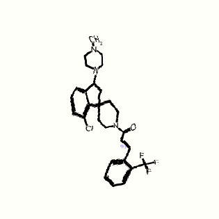 CN1CCN(C2CC3(CCN(C(=O)/C=C/c4ccccc4C(F)(F)F)CC3)c3c(Cl)cccc32)CC1